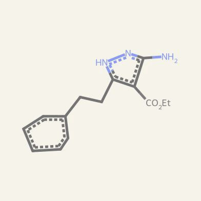 CCOC(=O)c1c(N)n[nH]c1CCc1ccccc1